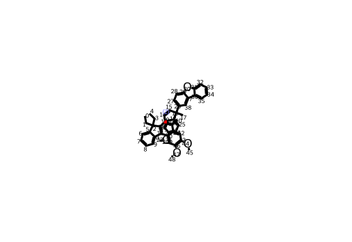 CCC1(CC)c2ccccc2-c2c1c(/C=C\C(C)(c1ccc(OC)cc1)c1ccc3oc4ccccc4c3c1)c(C)c1cc(OC)c(OC)cc21